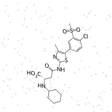 Cc1nc(NC(=O)C[C@H](NC2CCCCC2)C(=O)O)sc1-c1ccc(Cl)c(S(C)(=O)=O)c1